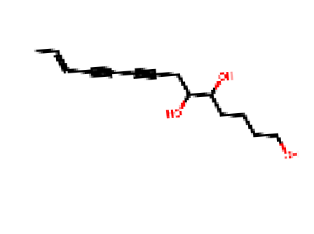 C/C=C/C#CC#CCC(O)C(O)CCCCO